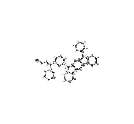 N=C/C=C(\C1=CNCC=C1)c1cccc(-n2c3ccccc3c3cc4c5ccccc5n(-c5ccccc5)c4cc32)c1